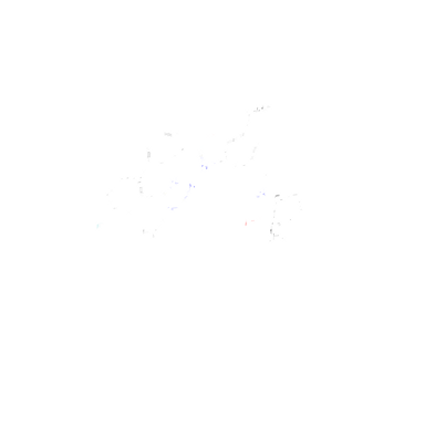 COc1cc(CN[C@@H]2CCC[C@]2(C)O)cc2nc(-c3cccc(-c4ccc(F)cc4-c4nncn4C)c3)oc12